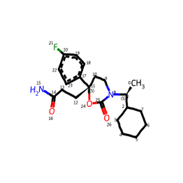 C[C@@H](C1CCCCC1)N1CC[C@@](CCC(N)=O)(c2ccc(F)cc2)OC1=O